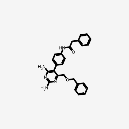 Nc1nc(N)c(-c2ccc(NC(=O)Cc3ccccc3)cc2)c(COCc2ccccc2)n1